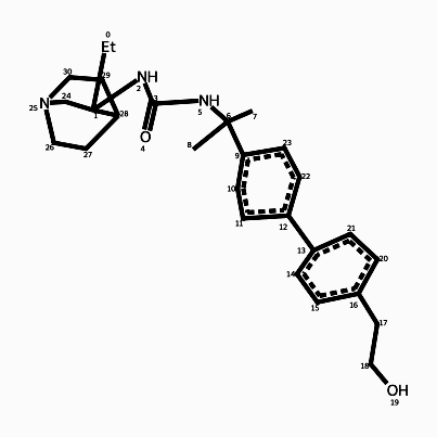 CCC1(NC(=O)NC(C)(C)c2ccc(-c3ccc(CCO)cc3)cc2)CN2CCC1CC2